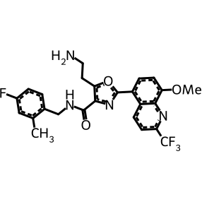 COc1ccc(-c2nc(C(=O)NCc3ccc(F)cc3C)c(CCN)o2)c2ccc(C(F)(F)F)nc12